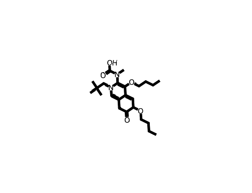 CCCCOC1=C(N(C)C(=O)O)N(CC(C)(C)C)C=C2CC(=O)C(OCCCC)C=C21